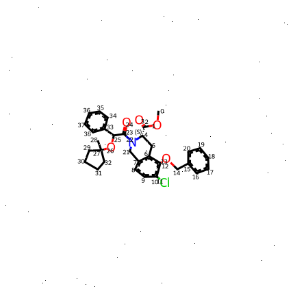 COC(=O)[C@@H]1Cc2c(ccc(Cl)c2OCc2ccccc2)CN1C(=O)C(OC1(C)CCCC1)c1ccccc1